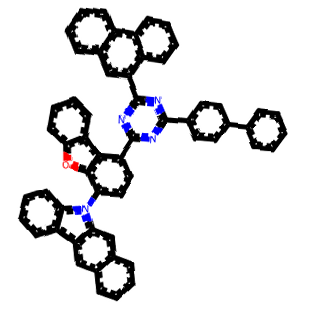 c1ccc(-c2ccc(-c3nc(-c4cc5ccccc5c5ccccc45)nc(-c4ccc(-n5c6ccccc6c6cc7ccccc7cc65)c5oc6ccccc6c45)n3)cc2)cc1